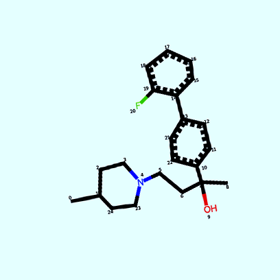 CC1CCN(CCC(C)(O)c2ccc(-c3ccccc3F)cc2)CC1